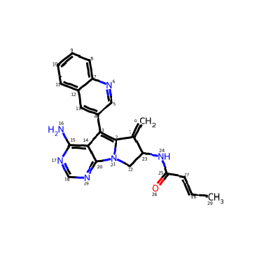 C=C1c2c(-c3cnc4ccccc4c3)c3c(N)ncnc3n2CC1NC(=O)C=CC